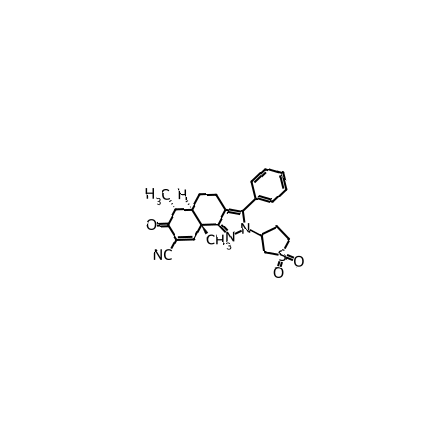 C[C@H]1C(=O)C(C#N)=C[C@@]2(C)c3nn(C4CCS(=O)(=O)C4)c(-c4ccccc4)c3CC[C@H]12